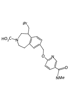 CNC(=O)c1ccc(OCc2ccc3c(c2)CCN(C(=O)O)CC3CC(C)C)nc1